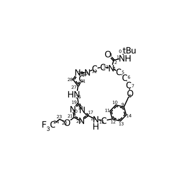 CC(C)(C)NC(=O)N1CCCOc2ccc(cc2)CNc2nc(nc(OCC(F)(F)F)n2)Nc2cnn(c2)CC1